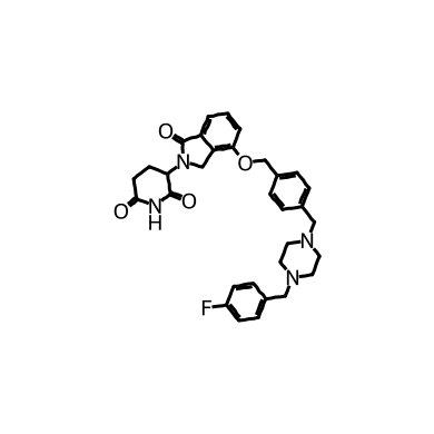 O=C1CCC(N2Cc3c(OCc4ccc(CN5CCN(Cc6ccc(F)cc6)CC5)cc4)cccc3C2=O)C(=O)N1